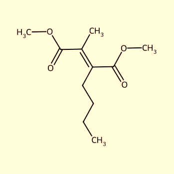 CCCCC(C(=O)OC)=C(C)C(=O)OC